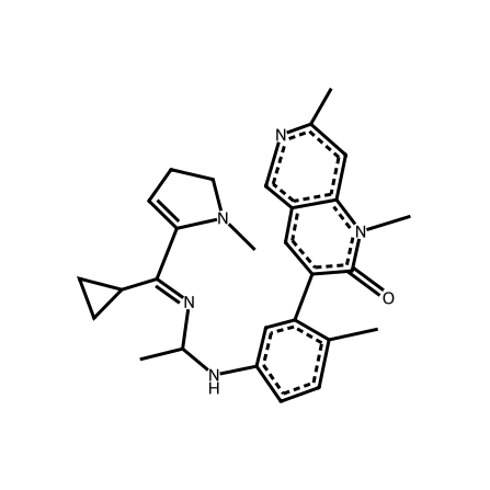 Cc1cc2c(cn1)cc(-c1cc(NC(C)/N=C(/C3=CCCN3C)C3CC3)ccc1C)c(=O)n2C